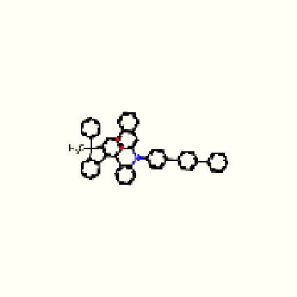 CC1(c2ccccc2)c2ccccc2-c2c(-c3ccccc3N(c3ccc(-c4ccc(-c5ccccc5)cc4)cc3)c3ccc4ccccc4c3)cccc21